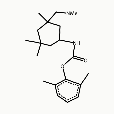 CNCC1(C)CC(NC(=O)Oc2c(C)cccc2C)CC(C)(C)C1